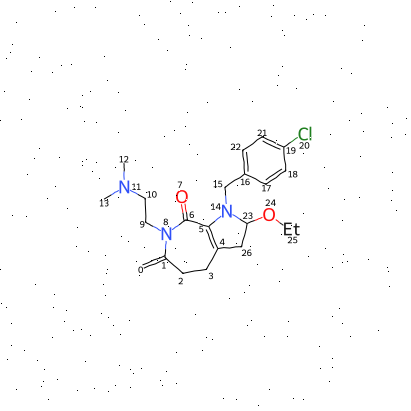 C=C1CCC2=C(C(=O)N1CCN(C)C)N(Cc1ccc(Cl)cc1)C(OCC)C2